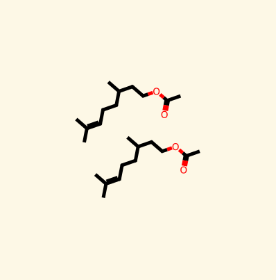 CC(=O)OCCC(C)CCC=C(C)C.CC(=O)OCCC(C)CCC=C(C)C